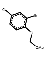 COCOc1ccc(Cl)cc1Br